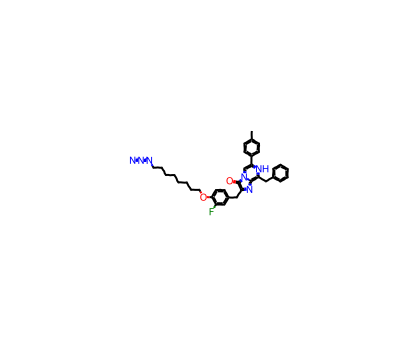 Cc1ccc(-c2cn3c(=O)c(Cc4ccc(OCCCCCCCCN=[N+]=[N-])c(F)c4)nc-3c(Cc3ccccc3)[nH]2)cc1